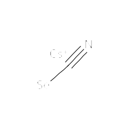 N#C[Se-].[Cs+]